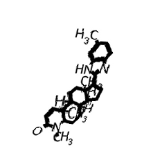 Cc1ccc2nc(C3CC[C@H]4[C@@H]5CCC6N(C)C(=O)C=C[C@]6(C)[C@@H]5CC[C@]34C)[nH]c2c1